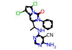 CC(Nc1ncnc(N)c1C#N)c1cc2c(Cl)cc(Cl)n2c(=O)n1-c1ccccc1